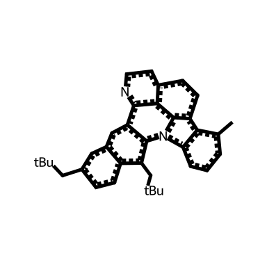 Cc1cccc2c1c1ccc3ccnc4c5cc6cc(CC(C)(C)C)ccc6c(CC(C)(C)C)c5n2c1c34